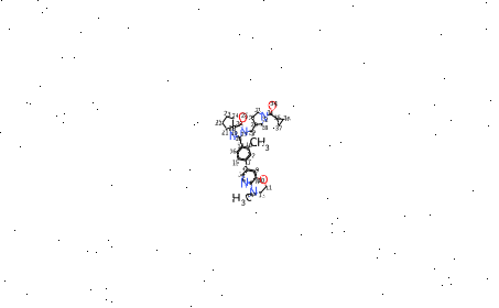 Cc1cc(-c2cnc3c(c2)OCCN3C)ccc1C1=NC2(CCCC2)C(=O)N1CC1CCN(C(=O)C2CC2)C1